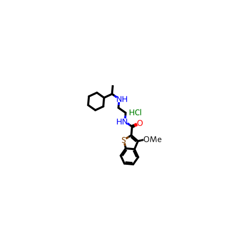 COc1c(C(=O)NCCNC(C)C2CCCCC2)sc2ccccc12.Cl